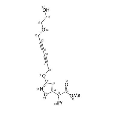 COC(=O)C(c1cc(OCC#CC#CCOCCO)no1)C(C)C